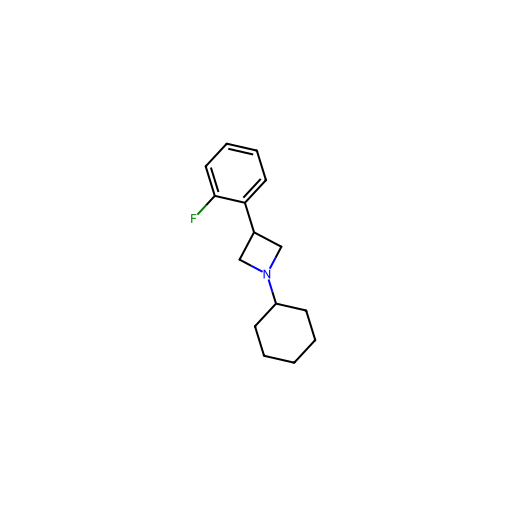 Fc1ccccc1C1CN(C2CCCCC2)C1